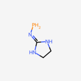 PN=C1NCCN1